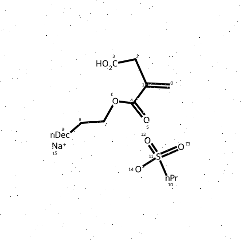 C=C(CC(=O)O)C(=O)OCCCCCCCCCCCC.CCCS(=O)(=O)[O-].[Na+]